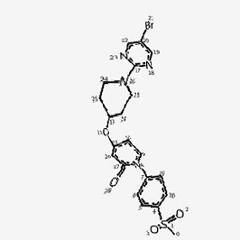 CS(=O)(=O)c1ccc(-n2ccc(OC3CCN(c4ncc(Br)cn4)CC3)cc2=O)cc1